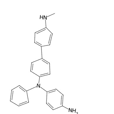 CNc1ccc(-c2ccc(N(c3ccccc3)c3ccc(N)cc3)cc2)cc1